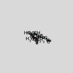 Cc1c(N(C(=O)c2cc(-c3cc4c(cc3C(=O)N3Cc5ccccc5C[C@H]3C)CN(C(=O)Cc3ccc(OCCN5CCOC6(CCCC6)C5)cc3)CC4)n(C)c2C)c2ccc(O)cc2)cc(C#N)n1C